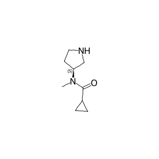 CN(C(=O)C1CC1)[C@H]1CCNC1